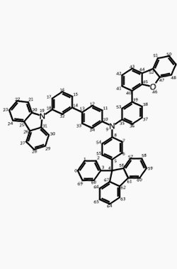 c1ccc(C2(c3ccc(N(c4ccc(-c5cccc(-n6c7ccccc7c7ccccc76)c5)cc4)c4cccc(-c5cccc6c5oc5ccccc56)c4)cc3)c3ccccc3-c3ccccc32)cc1